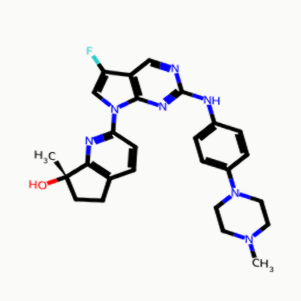 CN1CCN(c2ccc(Nc3ncc4c(F)cn(-c5ccc6c(n5)[C@@](C)(O)CC6)c4n3)cc2)CC1